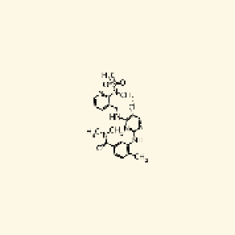 Cc1ccc(C(=O)N(C)C)cc1Nc1ncc(Cl)c(NCc2cccnc2N(C)S(C)(=O)=O)n1